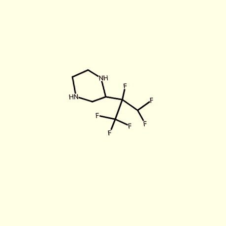 FC(F)C(F)(C1CNCCN1)C(F)(F)F